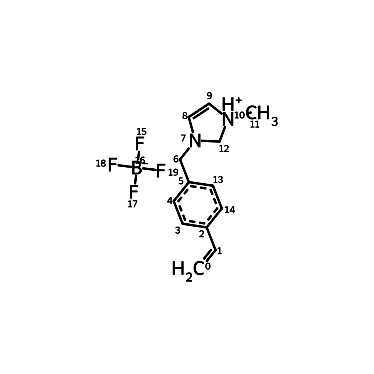 C=Cc1ccc(CN2C=C[NH+](C)C2)cc1.F[B-](F)(F)F